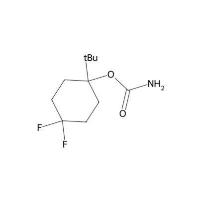 CC(C)(C)C1(OC(N)=O)CCC(F)(F)CC1